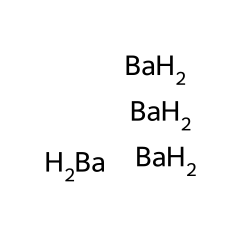 [BaH2].[BaH2].[BaH2].[BaH2]